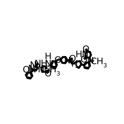 CC(CN(CC1CO1)c1cc(-c2ccccc2O)nnc1N)Nc1cccc(OC2CCN(C(=O)CN3CCC(c4cccc(N(C)C5CCC(=O)NC5=O)c4)CC3)CC2)c1